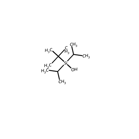 CC(C)[Si](O)(C(C)C)C(C)(C)C